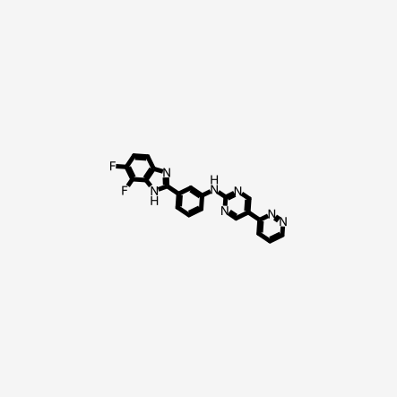 Fc1ccc2nc(-c3cccc(Nc4ncc(-c5cccnn5)cn4)c3)[nH]c2c1F